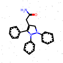 NC(=O)CC1=C(c2ccccc2)N(c2ccccc2)N(c2ccccc2)C1